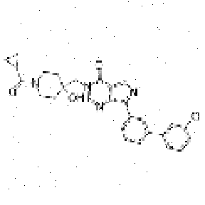 O=C(C1CC1)N1CCC(O)(Cn2cnc3c(cnn3-c3cccc(-c4cccc(Cl)c4)c3)c2=O)CC1